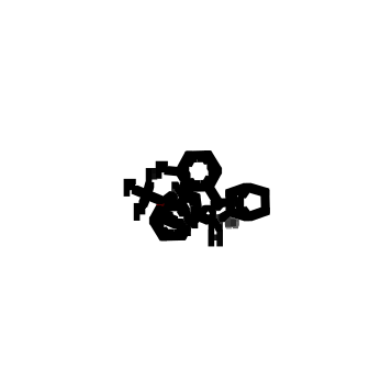 O=C(c1cccc(F)c1-c1ccccn1)N1C2CCC1[C@@H](Nc1cnc(C(F)(F)F)cn1)C2